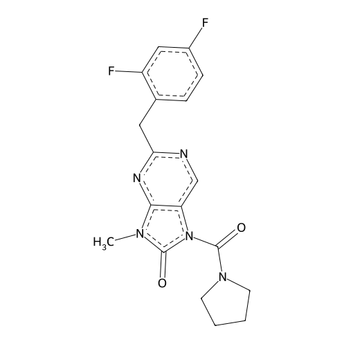 Cn1c(=O)n(C(=O)N2CCCC2)c2cnc(Cc3ccc(F)cc3F)nc21